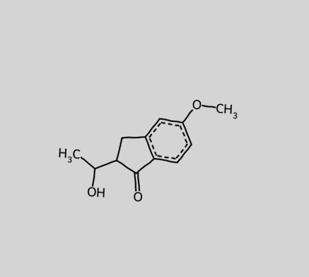 COc1ccc2c(c1)CC(C(C)O)C2=O